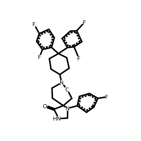 O=C1NCN(c2ccc(F)cc2)C12CCN(C1CCC(c3ccc(F)cc3F)(c3ccc(F)cc3F)CC1)CC2